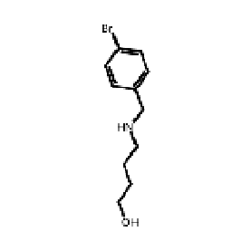 OCCCCNCc1ccc(Br)cc1